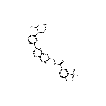 CCC1CNCCN1c1cccc(-c2ccc3cnc(CNC(=O)c4ccc(C)c(S(C)(=O)=O)c4)cc3n2)n1